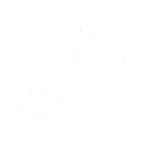 CCOC(=O)n1c(C(=O)O)cc2cc(OS(=O)(=O)C(F)(F)F)ccc21